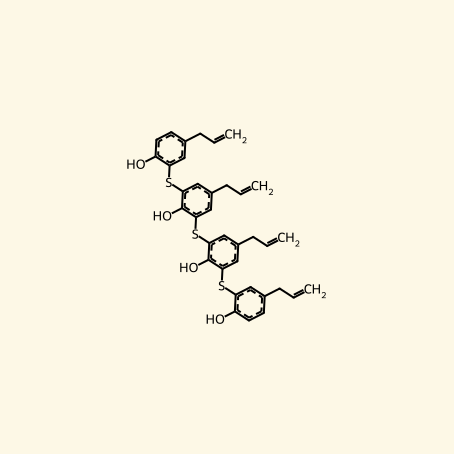 C=CCc1ccc(O)c(Sc2cc(CC=C)cc(Sc3cc(CC=C)cc(Sc4cc(CC=C)ccc4O)c3O)c2O)c1